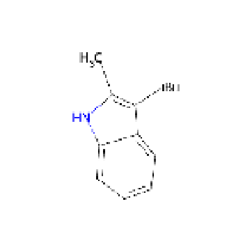 CCC(C)c1c(C)[nH]c2ccccc12